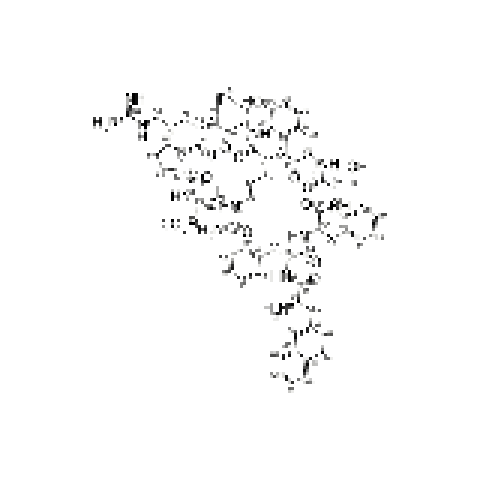 CC(C)C[C@H](NC(=O)[C@@H](CCCNC(N)=O)NC(=O)[C@H](Cc1ccc(O)cc1)NC(=O)[C@H](CO)NC(=O)[C@@H](Cc1cccnc1)NC(=O)[C@@H](Cc1ccccc1)NC(=O)[C@H](N)Cc1ccc2ccccc2c1)C(=O)N[C@@H](CCCNC(=N)N)C(=O)N1CCC[C@H]1C(=O)N[C@H](C)C(=O)O